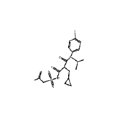 C=C(C)CS(=O)(=O)NC(=O)C(CC1CC1)C(=O)N(c1ccc(F)cc1)C(C)C